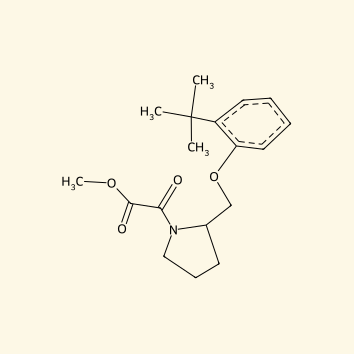 COC(=O)C(=O)N1CCCC1COc1ccccc1C(C)(C)C